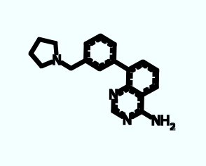 Nc1ncnc2c(-c3cccc(CN4CCCC4)c3)cccc12